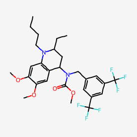 CCCCN1c2cc(OC)c(OC)cc2C(N(Cc2cc(C(F)(F)F)cc(C(F)(F)F)c2)C(=O)OC)CC1CC